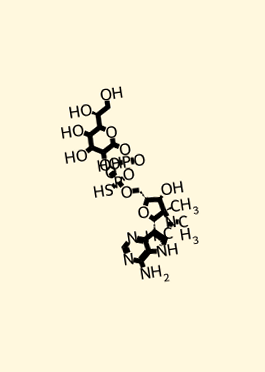 CN(C)[C@]1(C)[C@H](O)[C@@H](COP(=O)(S)OP(=O)(O)OC2OC([C@@H](O)CO)C(O)C(O)C2O)O[C@H]1c1c[nH]c2c(N)ncnc12